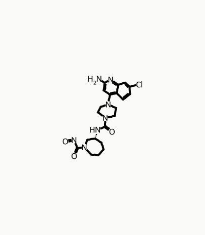 Nc1cc(N2CCN(C(=O)N[C@@H]3CCCCN(C(=O)N=O)C3)CC2)c2ccc(Cl)cc2n1